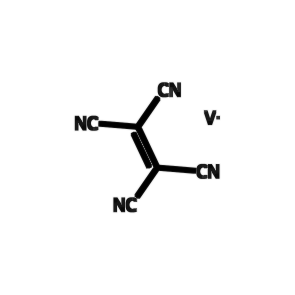 N#CC(C#N)=C(C#N)C#N.[V]